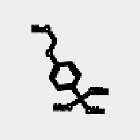 COCOc1ccc([Si](OC)(OC)OC)cc1